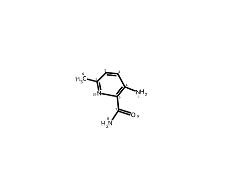 Cc1ccc(N)c(C(N)=O)n1